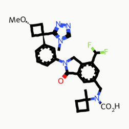 CO[C@H]1C[C@@](c2cccc(N3Cc4c(cc(CN(C(=O)O)C5(C)CCC5)cc4C(F)F)C3=O)c2)(c2nncn2C)C1